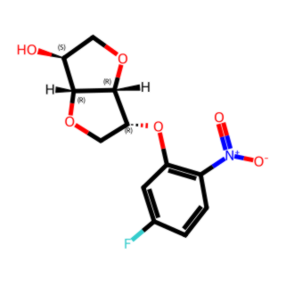 O=[N+]([O-])c1ccc(F)cc1O[C@@H]1CO[C@H]2[C@@H]1OC[C@@H]2O